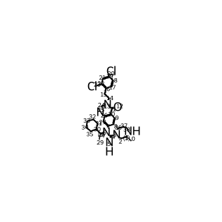 C[C@H]1CN(C(=N)N(c2ccc3c(=O)n(CCc4ccc(Cl)cc4Cl)cnc3c2)[C@@H](C)C2CCCCC2)CCN1